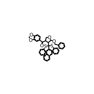 O=C(c1ccc2c(c1)OCO2)C1COC(OCc2ccccc2)C1C(Sc1ccccc1)(Sc1ccccc1)c1ccc2ccccc2c1